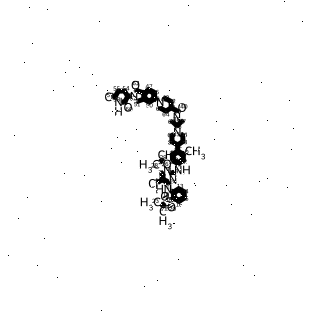 Cc1cc(Nc2ncc(Cl)c(Nc3ccccc3S(=O)(=O)C(C)C)n2)c(OC(C)C)cc1C1CCN(C2CN(C(=O)C3CCN(c4ccc5c(c4)CN(C4CCC(=O)NC4=O)C5=O)CC3)C2)CC1